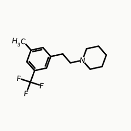 Cc1cc(CCN2CCCCC2)cc(C(F)(F)F)c1